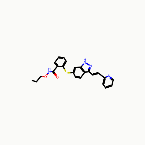 CCCONC(=O)c1ccccc1Sc1ccc2c(/C=C/c3ccccn3)n[nH]c2c1